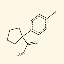 CC(C)COC(=O)C1(c2ccc(I)cc2)CCCC1